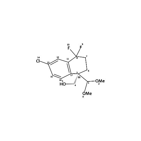 COC(OC)[C@]1(CO)CCC(F)(F)c2cc(Cl)ccc21